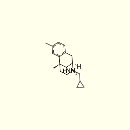 Cc1ccc2c(c1)[C@@]1(C)CCN(CC3CC3)[C@H](C2)[C@@H]1N